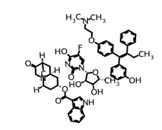 CC/C(=C(/c1ccc(OCCN(C)C)cc1)c1cccc(O)c1)c1ccccc1.C[C@H]1O[C@@H](n2cc(F)c(O)nc2=O)[C@H](O)[C@@H]1O.O=C(O[C@H]1C[C@@H]2C[C@@H]3C[C@H](C1)N2CC3=O)c1c[nH]c2ccccc12